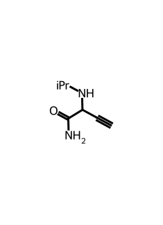 C#CC(NC(C)C)C(N)=O